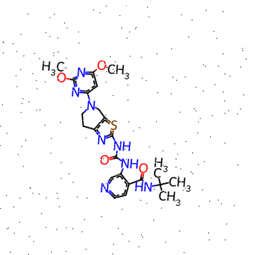 COc1cc(N2CCc3nc(NC(=O)Nc4cnccc4C(=O)NC(C)(C)C)sc3C2)nc(OC)n1